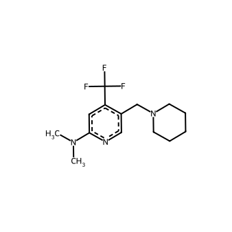 CN(C)c1cc(C(F)(F)F)c(CN2CCCCC2)cn1